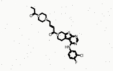 CCC(=O)N1CCN(C/C=C/C(=O)N2CCc3c(sc4ncnc(Nc5ccc(F)c(Cl)c5)c34)C2)CC1